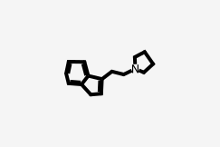 C1=C(CCN2CCCC2)c2ccccc2C1